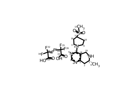 C[C@@H]1Cc2ncnc(N3CCC(S(C)(=O)=O)CC3)c2CN1.O=C(O)C(F)(F)F.O=C(O)C(F)(F)F